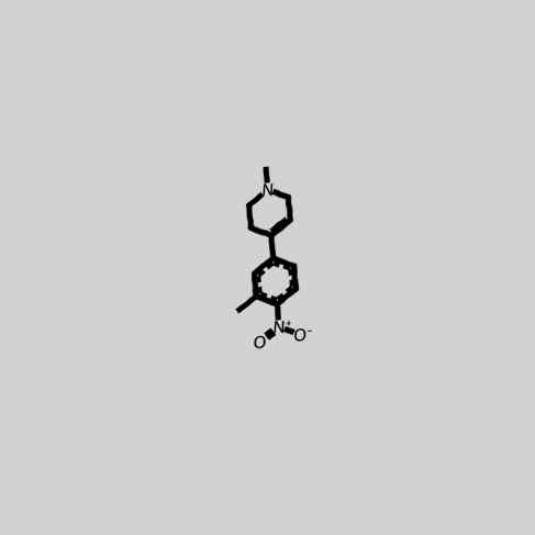 Cc1cc(C2=CCN(C)CC2)ccc1[N+](=O)[O-]